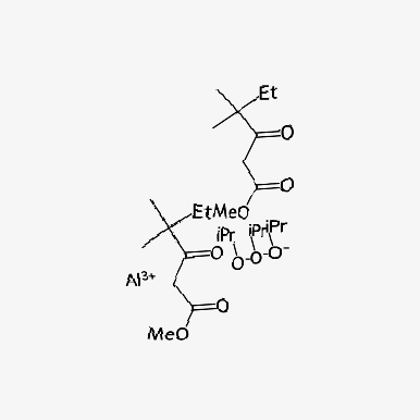 CC(C)[O-].CC(C)[O-].CC(C)[O-].CCC(C)(C)C(=O)CC(=O)OC.CCC(C)(C)C(=O)CC(=O)OC.[Al+3]